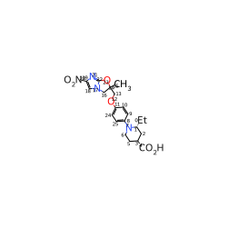 CC[C@@H]1CC(C(=O)O)CCN1c1ccc(OCC2(C)Cn3cc([N+](=O)[O-])nc3O2)cc1